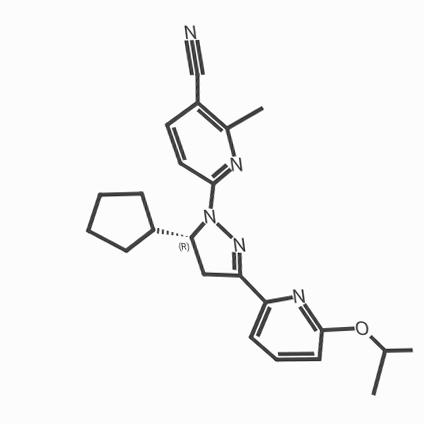 Cc1nc(N2N=C(c3cccc(OC(C)C)n3)C[C@@H]2C2CCCC2)ccc1C#N